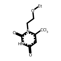 CCOCCn1c(C(Cl)(Cl)Cl)cc(=O)[nH]c1=O